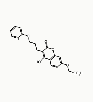 O=C(O)COc1ccc2c(O)c(CCCOc3ccccn3)c(=O)oc2c1